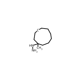 CC1(NN)CCCCCCCCC1